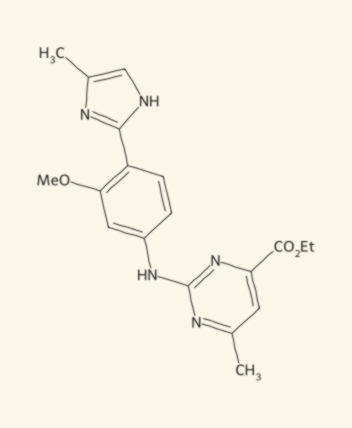 CCOC(=O)c1cc(C)nc(Nc2ccc(-c3nc(C)c[nH]3)c(OC)c2)n1